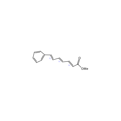 COC(=O)/C=C/C=C/C=C/c1ccccc1